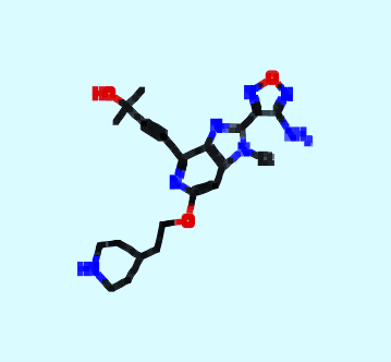 CCn1c(-c2nonc2N)nc2c(C#CC(C)(C)O)nc(OCCC3CCNCC3)cc21